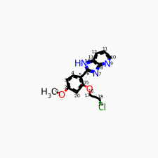 COc1ccc(-c2nc3ncccc3[nH]2)c(OCCCl)c1